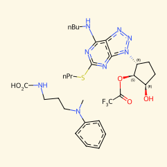 CCCCNc1nc(SCCC)nc2c1nnn2[C@@H]1CC[C@@H](O)[C@H]1OC(=O)C(F)(F)F.CN(CCCNC(=O)O)c1ccccc1